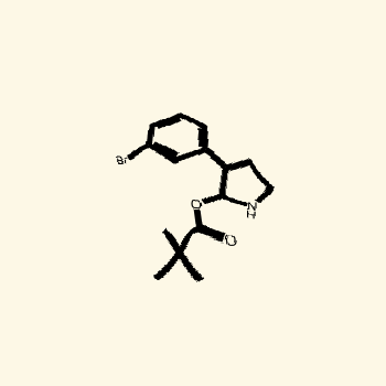 CC(C)(C)C(=O)OC1NCCC1c1cccc(Br)c1